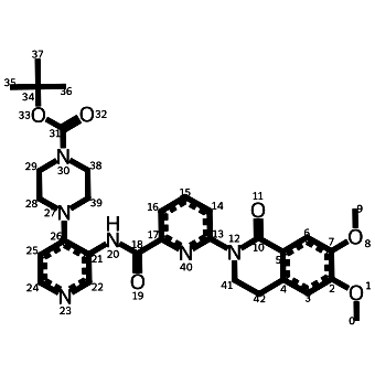 COc1cc2c(cc1OC)C(=O)N(c1cccc(C(=O)Nc3cnccc3N3CCN(C(=O)OC(C)(C)C)CC3)n1)CC2